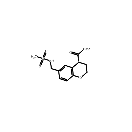 COC(=O)[C@H]1CCOc2ccc(CNS(C)(=O)=O)cc21